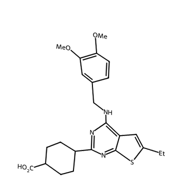 CCc1cc2c(NCc3ccc(OC)c(OC)c3)nc(C3CCC(C(=O)O)CC3)nc2s1